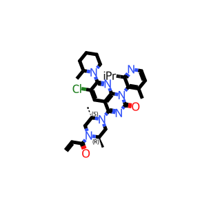 C=CC(=O)N1C[C@H](C)N(c2nc(=O)n(-c3c(C)ccnc3C(C)C)c3nc(N4CCCCC4C)c(Cl)cc23)C[C@H]1C